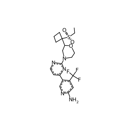 CCS(=O)(=O)C1(C2CN(c3nccc(-c4cnc(N)cc4C(F)(F)F)n3)CCO2)CCC1